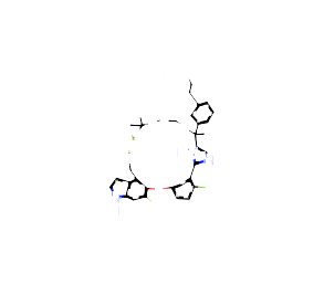 CC1(C)CCCCC(C)(c2cccc(CCC(=O)O)c2)c2cnc([nH]2)-c2cc(ccc2F)Oc2c(F)cc3[nH]ccc3c2CCSC1